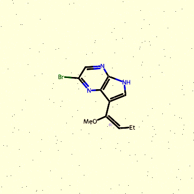 CC/C=C(/OC)c1c[nH]c2ncc(Br)nc12